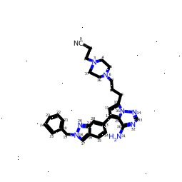 N#CCCN1CCN(CCCc2cc(-c3ccc4cn(Cc5ccccc5)nc4c3)c3c(N)ncnn23)CC1